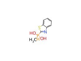 C[PH](O)(O)c1nc2ccccc2s1